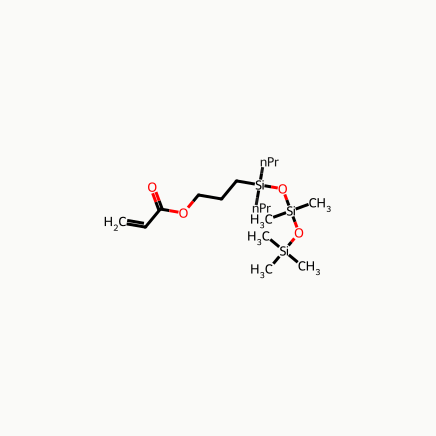 C=CC(=O)OCCC[Si](CCC)(CCC)O[Si](C)(C)O[Si](C)(C)C